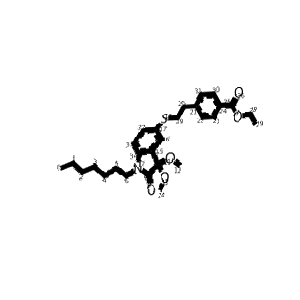 CCCCCCCN1C(=O)C(OC)(OC)c2cc(SCCc3ccc(C(=O)OCC)cc3)ccc21